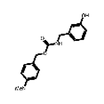 CNc1ccc(COC(=O)NCc2cccc(O)c2)cc1